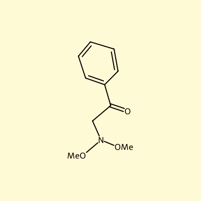 CON(CC(=O)c1ccccc1)OC